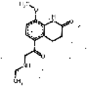 CCNCC(=O)c1ccc(OC)c2c1CCC(=O)N2